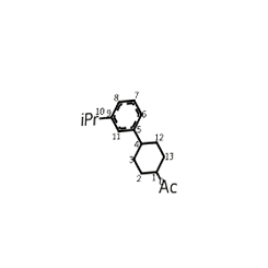 CC(=O)C1CCC(c2cccc(C(C)C)c2)CC1